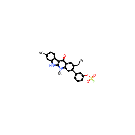 CCn1c2cc(-c3cccc(OS(=O)(=O)F)c3)c(CC(C)C)cc2c(=O)c2c3ccc(C#N)cc3[nH]c21